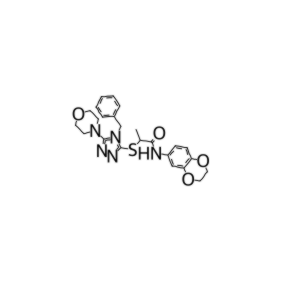 CC(Sc1nnc(N2CCOCC2)n1Cc1ccccc1)C(=O)Nc1ccc2c(c1)OCCO2